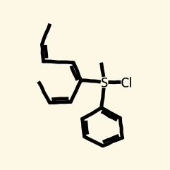 C\C=C/C=C(\C=C/C)S(C)(Cl)c1ccccc1